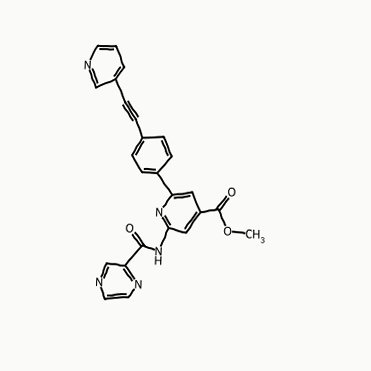 COC(=O)c1cc(NC(=O)c2cnccn2)nc(-c2ccc(C#Cc3cccnc3)cc2)c1